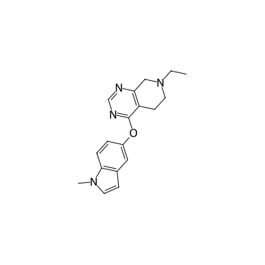 CCN1CCc2c(ncnc2Oc2ccc3c(ccn3C)c2)C1